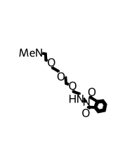 CNCCOCCOCCOCCNN1C(=O)c2ccccc2C1=O